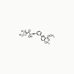 CCN(C)C(=O)[C@H](O)C#Cc1cccc(-c2ccc(C)c(C(=O)OC)n2)c1